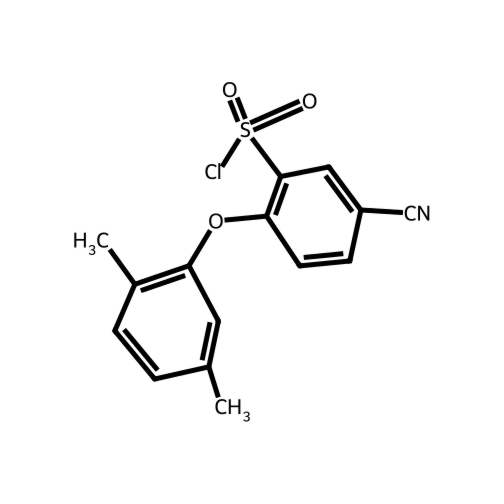 Cc1ccc(C)c(Oc2ccc(C#N)cc2S(=O)(=O)Cl)c1